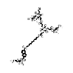 CCCCC(C)(C)OC(=O)CCn1c(=O)n(CCC(=O)OCCCCCCCCCCOC(=O)c2ccc3cc(C(=O)OCC(C)(C)CCC)ccc3c2)c(=O)n(CCC(=O)OCCn2c(=O)n(CCO)c(=O)n(CCC(C)(C)O)c2=O)c1=O